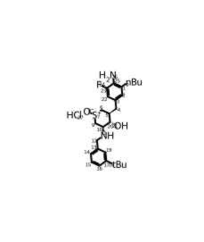 CCCCc1cc(C[C@@H]2C[S+]([O-])C[C@H](NCc3cccc(C(C)(C)C)c3)[C@H]2O)cc(F)c1N.Cl